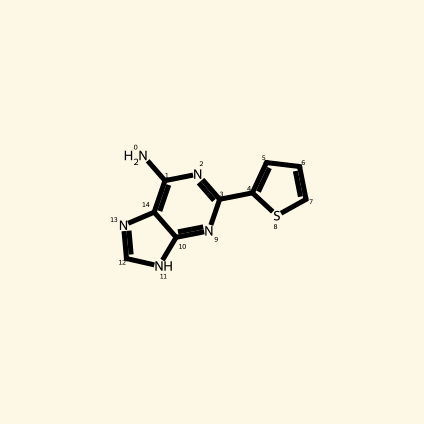 Nc1nc(-c2cccs2)nc2[nH]cnc12